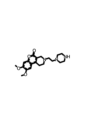 COc1cc2oc(=O)c3c(c2cc1OC)CCN(CCN1CCNCC1)C3